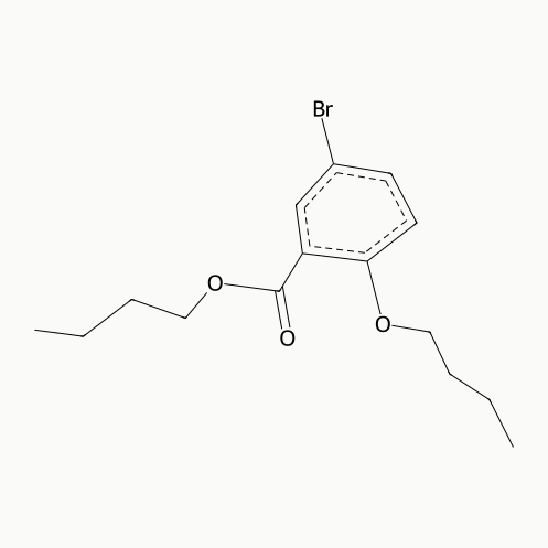 CCCCOC(=O)c1cc(Br)ccc1OCCCC